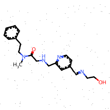 CN(CCc1ccccc1)C(=O)CNCc1cc(/C=N/CCO)ccn1